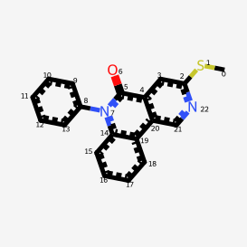 CSc1cc2c(=O)n(-c3ccccc3)c3ccccc3c2cn1